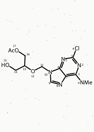 CNc1nc(Cl)nc2c1ncn2COC(CO)COC(C)=O